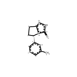 Cc1cncc([C@@H]2CCc3n[nH]c(=O)n32)n1